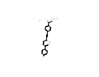 NCC(N)c1ccc(C#Cc2ccc(-c3ccc(Cl)cc3)cn2)cc1